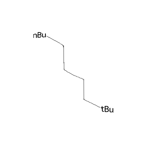 CCCCCCCCC(C)(C)C